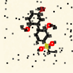 CCS(=O)(=O)c1ccc(-c2cc(Br)ccc2OC)c(OC)c1